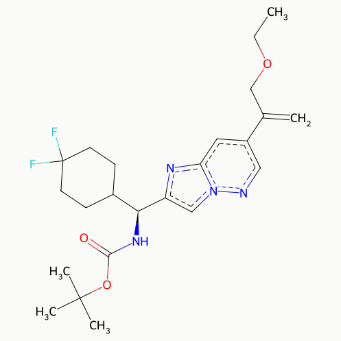 C=C(COCC)c1cnn2cc([C@@H](NC(=O)OC(C)(C)C)C3CCC(F)(F)CC3)nc2c1